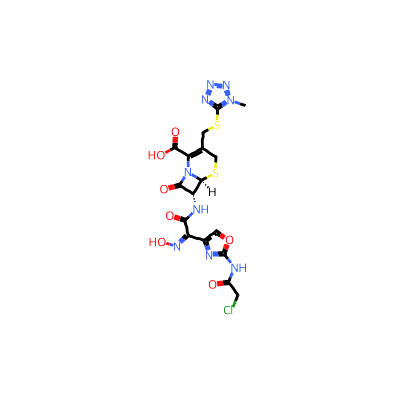 Cn1nnnc1SCC1=C(C(=O)O)N2C(=O)[C@@H](NC(=O)/C(=N\O)c3coc(NC(=O)CCl)n3)[C@@H]2SC1